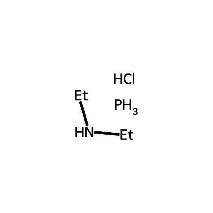 CCNCC.Cl.P